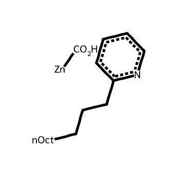 CCCCCCCCCCCc1ccccn1.O=[C](O)[Zn]